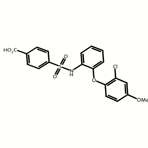 COc1ccc(Oc2ccccc2NS(=O)(=O)c2ccc(C(=O)O)cc2)c(Cl)c1